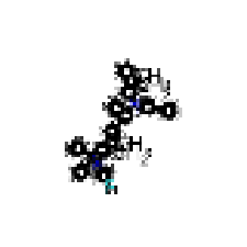 CC1(C)c2ccccc2-c2ccc(N(c3ccc(-c4ccccc4)cc3)c3ccc(-c4ccc5c(c4)C(C)(C)c4cc6c(cc4-5)c(-c4ccccc4)c(-c4ccccc4)n6-c4ccc(F)cc4)c4ccccc34)cc21